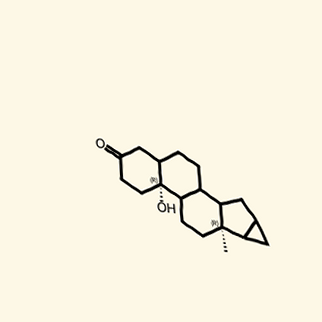 C[C@]12CCC3C(CCC4CC(=O)CC[C@@]43O)C1CC1CC12